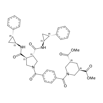 COC(=O)[C@@H]1C[C@@H](C(=O)OC)CN(C(=O)c2ccc(C(=O)N3C[C@@H](C(=O)N[C@H]4C[C@@H]4c4ccccc4)[C@H](C(=O)N[C@H]4C[C@@H]4c4ccccc4)C3)cc2)C1